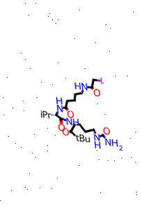 CC(C)[C@H](NC(=O)CCCCNC(=O)CI)C(=O)N[C@@H](CCCNC(N)=O)C(=O)C(C)(C)C